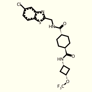 O=C(NCc1nc2cc(Cl)ccc2s1)[C@H]1CC[C@H](C(=O)N[C@H]2C[C@@H](OC(F)(F)F)C2)CC1